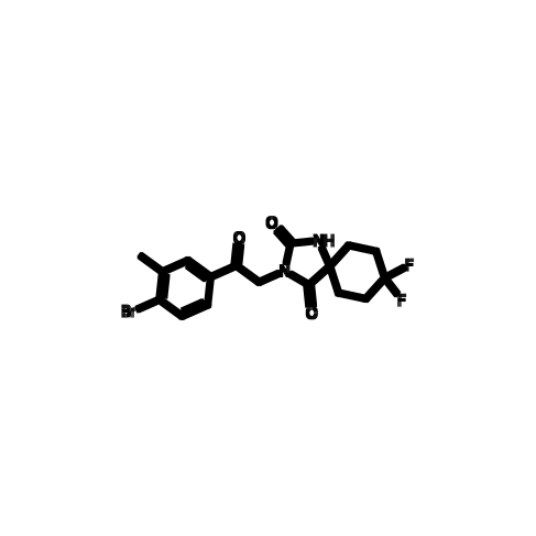 Cc1cc(C(=O)CN2C(=O)NC3(CCC(F)(F)CC3)C2=O)ccc1Br